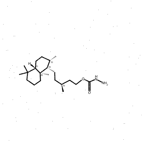 C[C@H](CCOC(=O)NN)CC[C@H]1[C@@H](C)CC[C@H]2C(C)(C)CCC[C@]12C